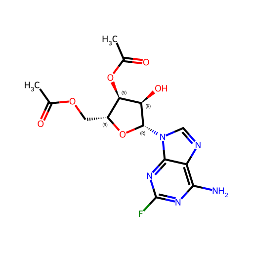 CC(=O)OC[C@H]1O[C@@H](n2cnc3c(N)nc(F)nc32)[C@H](O)[C@@H]1OC(C)=O